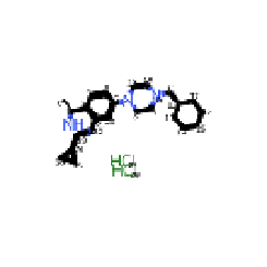 C[C@H](N)c1ccc(N2CCN(CC3CCCCC3)CC2)cc1/C=C/C1CC1.Cl.Cl